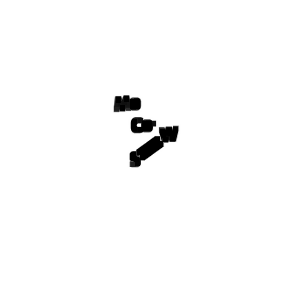 [Co].[Mo].[S]=[W]